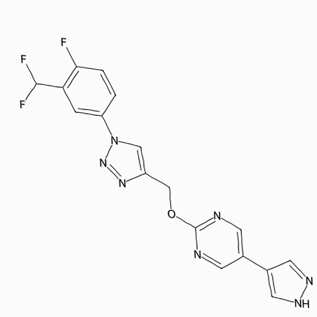 Fc1ccc(-n2cc(COc3ncc(-c4cn[nH]c4)cn3)nn2)cc1C(F)F